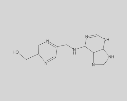 OCC1CN=C(CNC2N=CNC3NC=NC23)C=N1